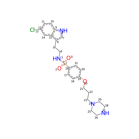 O=S(=O)(NCCc1c[nH]c2ccc(Cl)cc12)c1ccc(OCCCN2CCNCC2)cc1